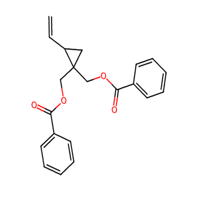 C=CC1CC1(COC(=O)c1ccccc1)COC(=O)c1ccccc1